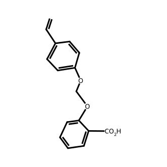 C=Cc1ccc(OCOc2ccccc2C(=O)O)cc1